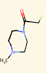 CN1CCN(C(=O)CF)CC1